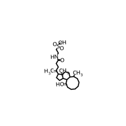 CC1CCCCCC[C@H](O)C2C1CC[C@@]1(C)C2CCC1[C@H](C)CCC(=O)NCCS(=O)(=O)O